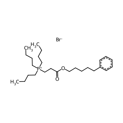 CCCC[P+](CCCC)(CCCC)CCC(=O)OCCCCCc1ccccc1.[Br-]